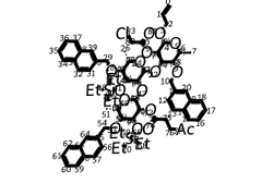 C=CCO[C@@H]1O[C@@H](C)[C@H](OCc2ccc3ccccc3c2)[C@@H](O[C@@H]2O[C@@H](C)[C@H](OCc3ccc4ccccc4c3)[C@@H](O[Si](CC)(CC)CC)[C@H]2O[C@@H]2O[C@@H](C)[C@H](OCc3ccc4ccccc4c3)[C@@H](O[Si](CC)(CC)CC)[C@H]2OC(=O)CCC(C)=O)[C@H]1OC(=O)CCl